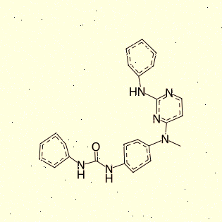 CN(c1ccc(NC(=O)Nc2ccccc2)cc1)c1ccnc(Nc2ccccc2)n1